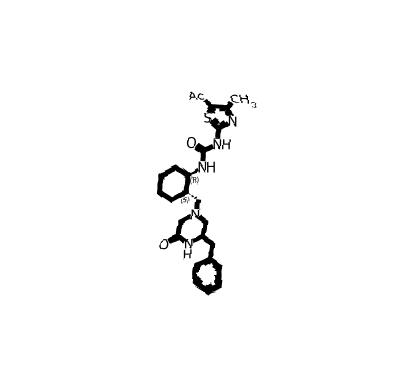 CC(=O)c1sc(NC(=O)N[C@@H]2CCCC[C@H]2CN2CC(=O)NC(Cc3ccccc3)C2)nc1C